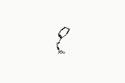 CCCCC#C/C=C/c1ccccc1